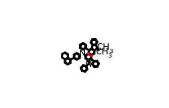 CC1(C)c2ccccc2-c2c(-c3ccccc3N(c3ccc(-c4cccc5c4C=CCC5)cc3)c3ccc4c5ccccc5n(-c5ccccc5)c4c3)cccc21